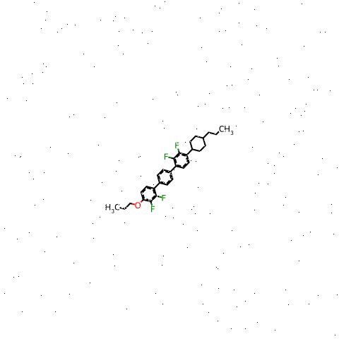 CCCOc1ccc(-c2ccc(-c3ccc(C4CCC(CCC)CC4)c(F)c3F)cc2)c(F)c1F